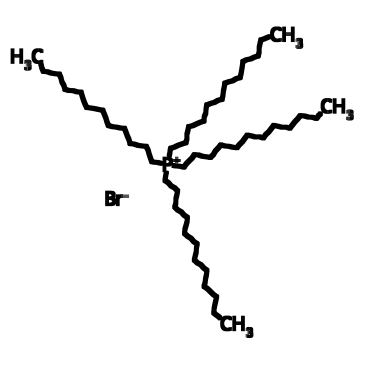 CCCCCCCCCCCC[P+](CCCCCCCCCCCC)(CCCCCCCCCCCC)CCCCCCCCCCCC.[Br-]